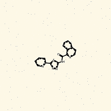 O=C(Nc1nnc(-c2ccccn2)s1)c1nccc2ccccc12